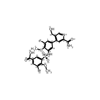 COc1c(F)cc(-c2cc(C(N)=O)ncc2CO)cc1NS(=O)(=O)c1cc(C(=O)O)cc(Br)c1OC